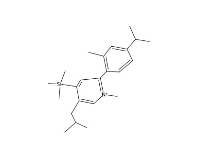 Cc1cc(C(C)C)ccc1-c1cc([Si](C)(C)C)c(CC(C)C)c[n+]1C